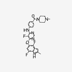 Cc1cc2c(F)c(Oc3ncnc(Nc4ccc(C(=O)N5CCN(C)CC5)cc4)c3F)cc(F)c2[nH]1